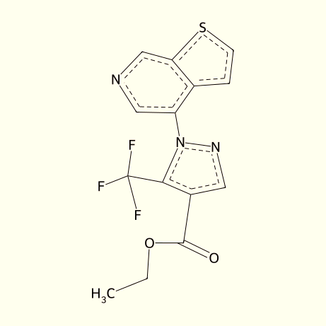 CCOC(=O)c1cnn(-c2cncc3sccc23)c1C(F)(F)F